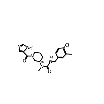 Cc1cc(CNC(=O)N(C)[C@@H]2CCCN(C(=O)c3cnc[nH]3)C2)ccc1Cl